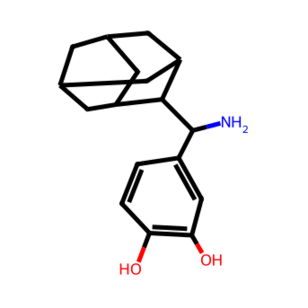 NC(c1ccc(O)c(O)c1)C1C2CC3CC(C2)CC1C3